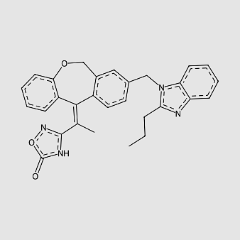 CCCc1nc2ccccc2n1Cc1ccc2c(c1)COc1ccccc1C2=C(C)c1noc(=O)[nH]1